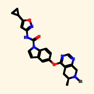 CCN1Cc2ncnc(Oc3ccc4c(ccn4C(=O)Nc4cc(C5CC5)on4)c3)c2C[C@@H]1C